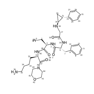 CC(C)C[C@@H](NC(=O)[C@@H](Cc1ccccc1)NC(=O)CN[C@H]1C[C@@H]1c1ccccc1)C(=O)N[C@H](CCCCN)C(=O)N1CCOCC1